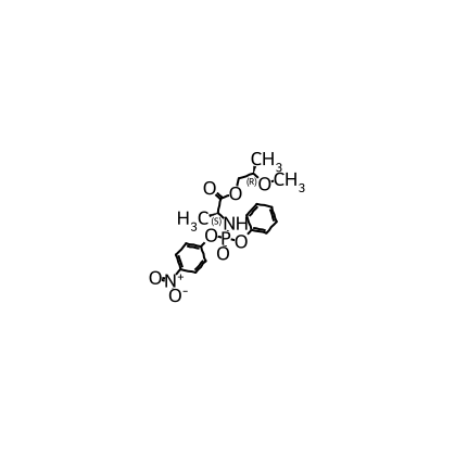 CO[C@H](C)COC(=O)[C@H](C)NP(=O)(Oc1ccccc1)Oc1ccc([N+](=O)[O-])cc1